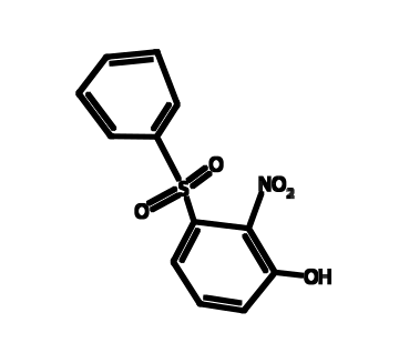 O=[N+]([O-])c1c(O)cccc1S(=O)(=O)c1ccccc1